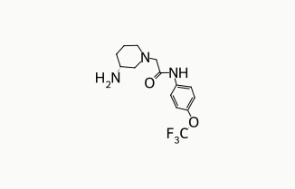 N[C@@H]1CCCN(CC(=O)Nc2ccc(OC(F)(F)F)cc2)C1